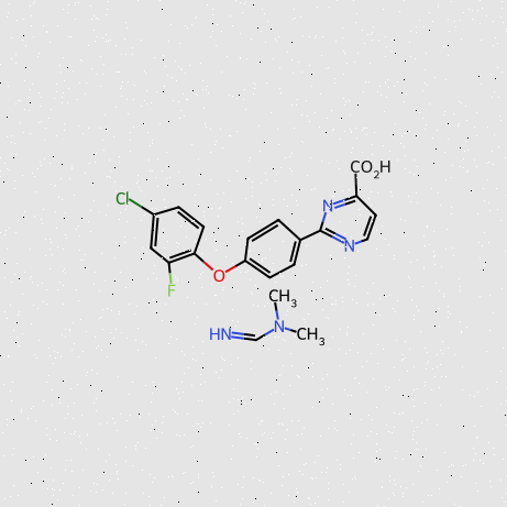 CN(C)C=N.O=C(O)c1ccnc(-c2ccc(Oc3ccc(Cl)cc3F)cc2)n1